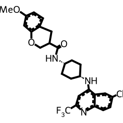 COc1ccc2c(c1)OCC(C(=O)N[C@H]1CC[C@@H](Nc3cc(C(F)(F)F)nc4ccc(Cl)cc34)CC1)C2